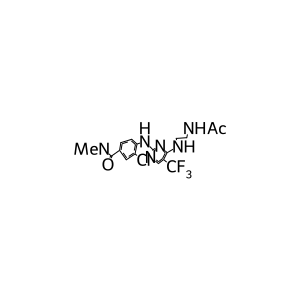 CNC(=O)c1ccc(Nc2ncc(C(F)(F)F)c(NCCNC(C)=O)n2)c(Cl)c1